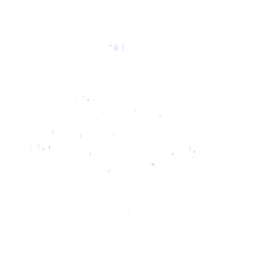 NCCN/C(=C1\C(=O)Nc2ccc(Br)cc21)c1ccc2[nH]c(=O)oc2c1